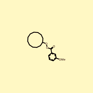 COc1cccc(C(=O)OO[C]2CCCCCCCCCCC2)c1